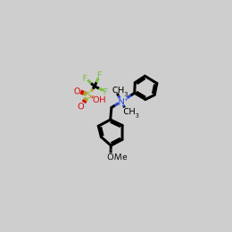 COc1ccc(C[N+](C)(C)c2ccccc2)cc1.O=S(=O)(O)C(F)(F)F